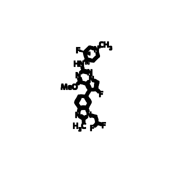 COc1nc(N[C@H]2CCN(C)C[C@H]2F)nn2cc(F)c(-c3ccc4nc(C)n(CC(F)F)c4c3)c12